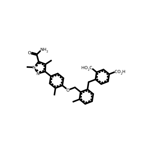 Cc1cc(-c2nn(C)c(C(N)=O)c2C)ccc1OCc1c(C)cccc1Cc1ccc(C(=O)O)cc1C(=O)O